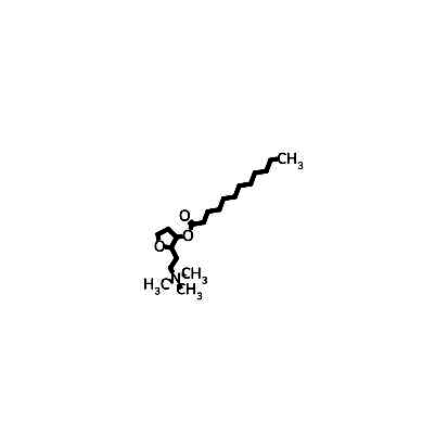 CCCCCCCCCCCC(=O)OC1CCOC1CC[N+](C)(C)C